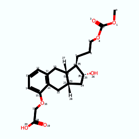 COC(=O)OCCC[C@@H]1[C@H]2Cc3cccc(OCC(=O)O)c3C[C@H]2C[C@H]1O